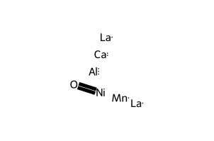 [Al].[Ca].[La].[La].[Mn].[O]=[Ni]